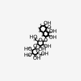 O=c1c(O)cccc2cc(O[C@@H]3O[C@H](CO)[C@@H](O[C@@H]4O[C@H](CO)[C@H](O)[C@H](O)[C@H]4O)[C@H](O)[C@H]3O)c(O)c(O)c12